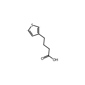 O=C(O)CCCc1[c]s[c]c1